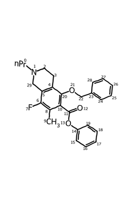 CCCN1CCc2c(c(F)c(C)c(C(=O)Oc3ccccc3)c2OCc2ccccc2)C1